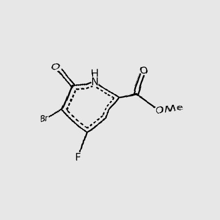 COC(=O)c1cc(F)c(Br)c(=O)[nH]1